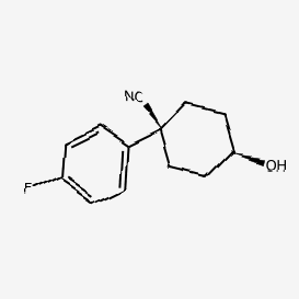 N#C[C@]1(c2ccc(F)cc2)CC[C@H](O)CC1